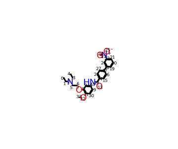 CCN(CC)CCOc1cc(NC(=O)c2ccc(-c3cccc([N+](=O)[O-])c3)cc2)ccc1OC